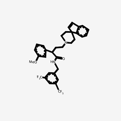 COc1cccc(C(CCN2CCC3(C=Cc4ccccc43)CC2)C(=O)NCc2cc(C(F)(F)F)cc(C(F)(F)F)c2)c1